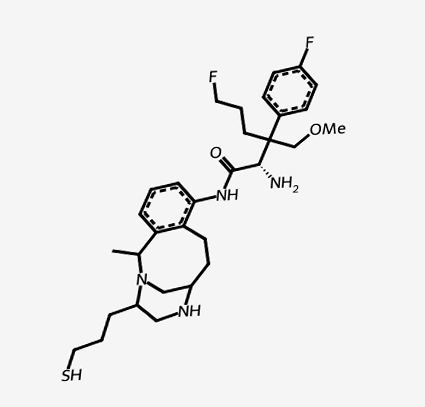 COCC(CCCF)(c1ccc(F)cc1)[C@H](N)C(=O)Nc1cccc2c1CCC1CN(C(CCCS)CN1)C2C